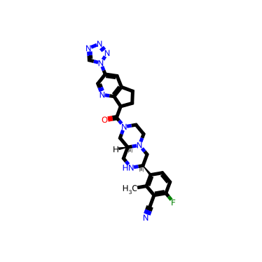 Cc1c([C@@H]2CN3CCN(C(=O)C4CCc5cc(-n6cnnn6)cnc54)C[C@H]3CN2)ccc(F)c1C#N